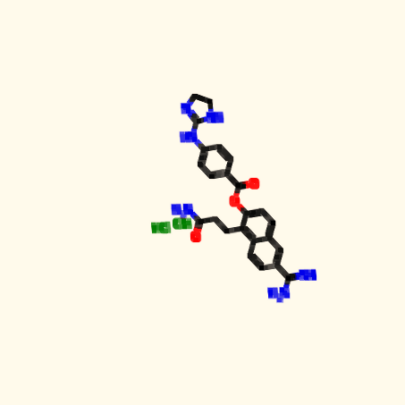 Cl.Cl.N=C(N)c1ccc2c(CCC(N)=O)c(OC(=O)c3ccc(NC4=NCCN4)cc3)ccc2c1